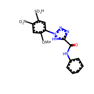 COc1cc([N+](=O)[O-])c(S(=O)(=O)O)cc1-[n+]1nnc(C(=O)Nc2ccccc2)[nH]1